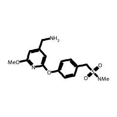 CNS(=O)(=O)Cc1ccc(Oc2cc(CN)cc(OC)n2)cc1